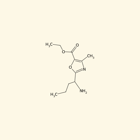 CCCC(N)c1nc(C)c(C(=O)OCC)o1